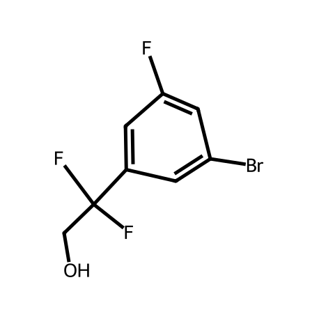 OCC(F)(F)c1cc(F)cc(Br)c1